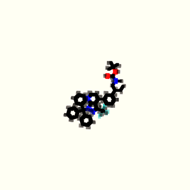 CCC(CN(C)C(=O)OC(C)(C)C)c1cccc(-c2ccnc3c2c(C(F)(F)F)nn3C(c2ccccc2)(c2ccccc2)c2ccccc2)c1